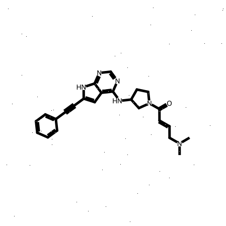 CN(C)CC=CC(=O)N1CCC(Nc2ncnc3[nH]c(C#Cc4ccccc4)cc23)C1